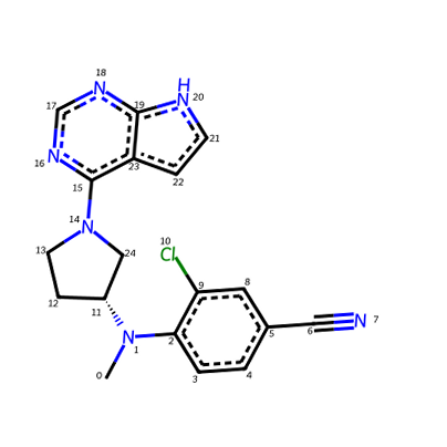 CN(c1ccc(C#N)cc1Cl)[C@@H]1CCN(c2ncnc3[nH]ccc23)C1